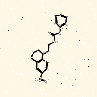 O=C(NCCN1CCSc2cc([N+](=O)[O-])ccc21)Oc1ccccc1